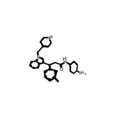 Cc1cccc(C(CC(=O)NC2CCC(N)CC2)c2cn(CC3CCNCC3)c3ccccc23)c1